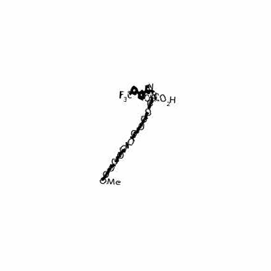 COCCOCCOCCOCCOCCOCCOCCOCCOCCOCCOCCOCCN(Cc1cc(-c2cc(-c3cccc(C(F)(F)F)c3)ccc2O)ccn1)C(=O)O